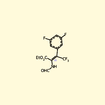 CCOC(=O)/C(NC=O)=C(\c1cc(F)cc(F)c1)C(F)(F)F